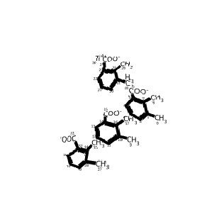 Cc1cccc(C(=O)[O-])c1C.Cc1cccc(C(=O)[O-])c1C.Cc1cccc(C(=O)[O-])c1C.Cc1cccc(C(=O)[O-])c1C.[Ti+4]